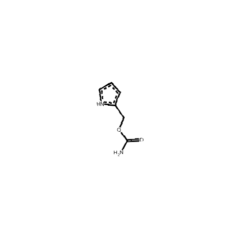 NC(=O)OCc1ccc[nH]1